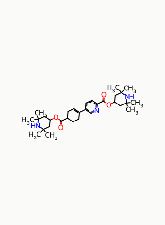 CC1(C)CC(OC(=O)c2ccc(C3=CCC(C(=O)OC4CC(C)(C)NC(C)(C)C4)CC3)cn2)CC(C)(C)N1